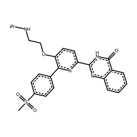 CC(C)NCCOc1ccc(-c2nc3ccccc3c(=O)[nH]2)nc1-c1ccc(S(C)(=O)=O)cc1